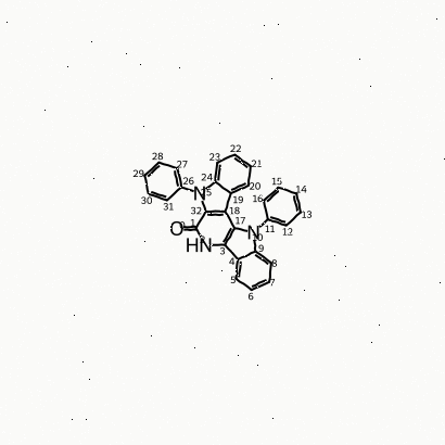 O=c1[nH]c2c3ccccc3n(-c3ccccc3)c2c2c3ccccc3n(-c3ccccc3)c12